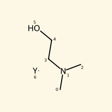 CN(C)CCO.[Y]